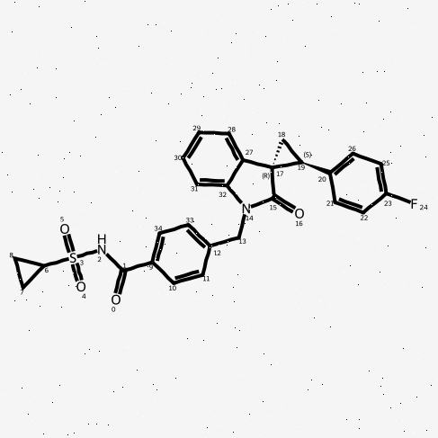 O=C(NS(=O)(=O)C1CC1)c1ccc(CN2C(=O)[C@@]3(C[C@H]3c3ccc(F)cc3)c3ccccc32)cc1